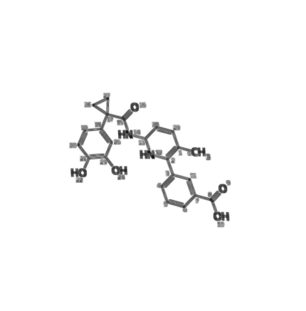 CC1=C(c2cccc(C(=O)O)c2)NC(NC(=O)C2(c3ccc(O)c(O)c3)CC2)C=C1